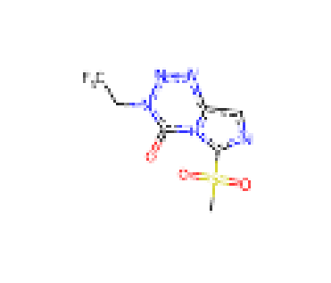 CS(=O)(=O)c1ncc2nnn(CC(F)(F)F)c(=O)n12